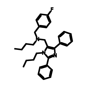 CCCCN(Cc1ccc(F)cc1)Cc1c(-c2ccccc2)nc(-c2ccccc2)n1CCCC